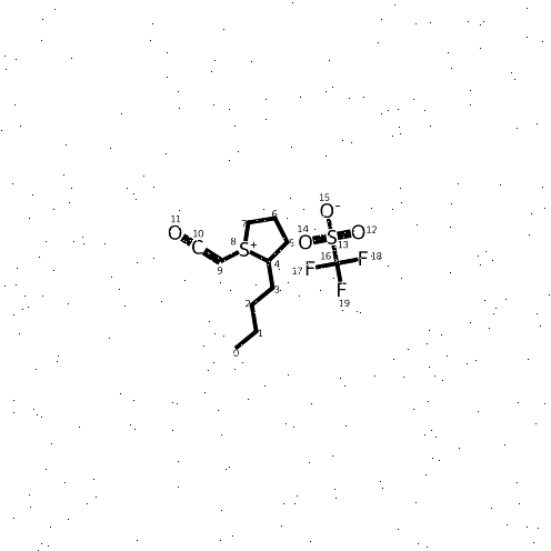 CCCCC1CCC[S+]1C=C=O.O=S(=O)([O-])C(F)(F)F